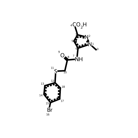 Cn1nc(C(=O)O)cc1NC(=O)CSc1ccc(Br)cc1